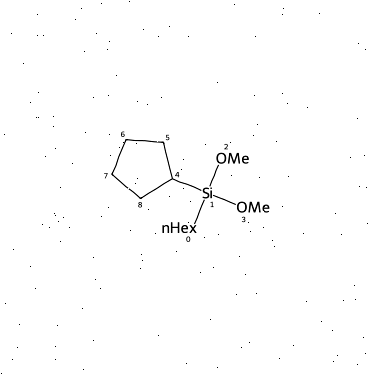 CCCCCC[Si](OC)(OC)C1CCCC1